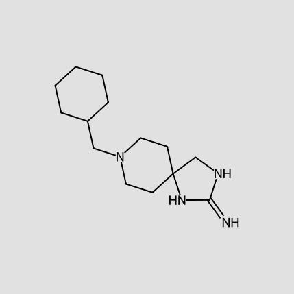 N=C1NCC2(CCN(CC3CCCCC3)CC2)N1